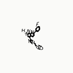 Nc1ncc(-c2cn(CCN3CCOCC3)cn2)c2ccc(-c3cccc(F)c3)nc12